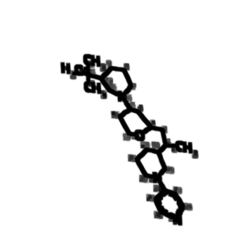 CC(CC1CC(N2CCCC(C(C)(C)C)C2)CCO1)C1CCCN(c2ccncc2)C1